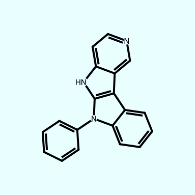 c1ccc(-n2c3ccccc3c3c4cnccc4[nH]c32)cc1